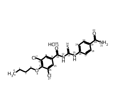 CCCCOc1c(Cl)cc(C(=O)NC(=S)Nc2ccc(C(N)=O)cc2)cc1Cl.Cl